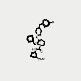 COc1cccc(NC(=O)N2CCC[C@@H](CN3CCC(Cc4ccc(F)cc4)CC3)[C@H]2Cc2ccccc2)c1